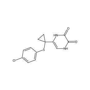 O=c1[nH]cc(C2(Sc3ccc(Cl)cc3)CC2)[nH]c1=O